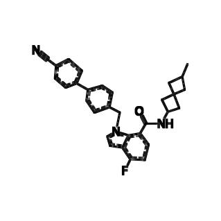 CC1CC2(C1)CC(NC(=O)c1ccc(F)c3ccn(Cc4ccc(-c5ccc(C#N)cc5)cc4)c13)C2